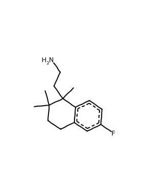 CC1(C)CCc2cc(F)ccc2C1(C)CCN